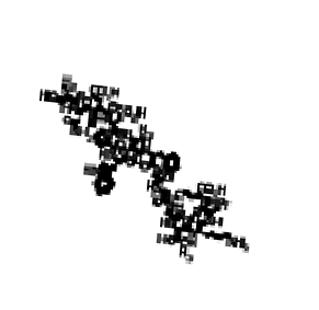 CC(C)C[C@H](NC(=O)[C@H](CCCCN)NC(=O)[C@@H](NC(=O)CNC(=O)CNC(=O)CNC(=O)[C@H](Cc1ccccc1)NC(=O)[C@@H](NC(=O)[C@H](Cc1c[nH]c2ccccc12)NC(=O)[C@@H]1CCCN1C(=O)[C@H](CC(=O)O)NC(=O)[C@H](CCC(=O)O)NC(=O)[C@H](CC(N)=O)NC(=O)[C@@H](N)CO)[C@@H](C)O)[C@@H](C)O)C(=O)N[C@@H](CCC(=O)O)C(=O)O